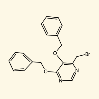 BrCc1ncnc(OCc2ccccc2)c1OCc1ccccc1